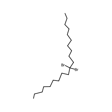 CCCCCCCCCCC(Br)(Br)CCCCCCCCC